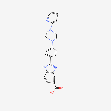 O=C(O)c1ccc2[nH]c(-c3ccc(N4CCN(c5ccccn5)CC4)cc3)nc2c1